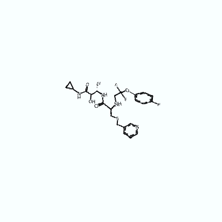 CC[C@H](NC(=O)C(CSCc1cccnc1)NCC(F)(F)Oc1ccc(F)cc1)C(O)C(=O)NC1CC1